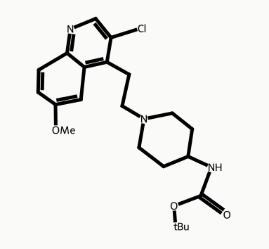 COc1ccc2ncc(Cl)c(CCN3CCC(NC(=O)OC(C)(C)C)CC3)c2c1